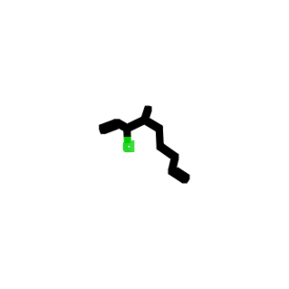 C=CCCCC(C)C(Cl)C=C